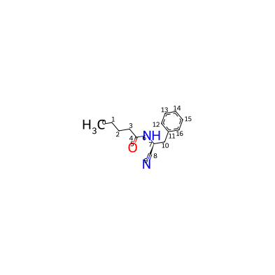 CCCCC(=O)N[C@H](C#N)Cc1ccccc1